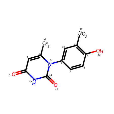 O=c1cc(C(F)(F)F)n(-c2ccc(O)c([N+](=O)[O-])c2)c(=O)[nH]1